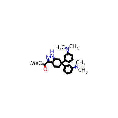 COC(=O)c1n[nH]c2c1C=CC(c1cccc(N(C)C)c1)(c1cccc(N(C)C)c1)C2